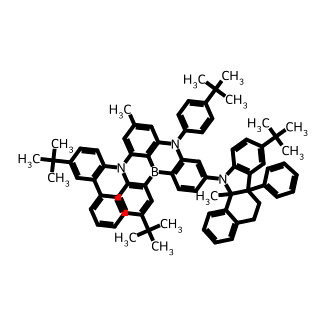 Cc1cc2c3c(c1)N(c1ccc(C(C)(C)C)cc1-c1ccccc1)c1ccc(C(C)(C)C)cc1B3c1ccc(N3c4ccc(C(C)(C)C)cc4C4(c5ccccc5)CCc5ccccc5C34C)cc1N2c1ccc(C(C)(C)C)cc1